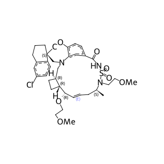 COCCO[C@H]1/C=C/C[C@H](C)N(CCOC)S(=O)(=O)NC(=O)c2ccc3c(c2)N(C[C@@H]2CC[C@H]21)C[C@@]1(CCCc2cc(Cl)ccc21)CO3